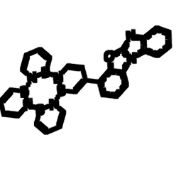 C1=CB2N(C=C1)B1C=CC=CN1B1C=C(c3cccc4c3oc3nc5ccccc5n34)C=CN1B1C=CC=CN21